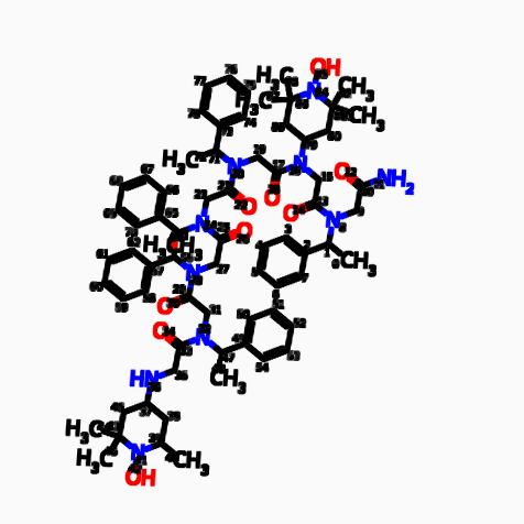 CC(c1ccccc1)N(CC(N)=O)C(=O)CN(C(=O)CN(C(=O)CN(C(=O)CN(C(=O)CN(C(=O)CNC1CC(C)N(O)C(C)(C)C1)[C@H](C)c1ccccc1)C(C)c1ccccc1)[C@H](C)c1ccccc1)C(C)c1ccccc1)C1CC(C)(C)N(O)C(C)(C)C1